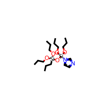 CCCO[Si](CCC)(OCCC)O[Si](OCCC)(OCCC)n1ccnc1